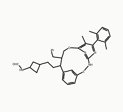 Cc1cccc(C)c1-c1nc2nc(c1C)OCC(CC(C)C)C(CCC1CC(NC=O)C1)c1cccc(c1)SN2